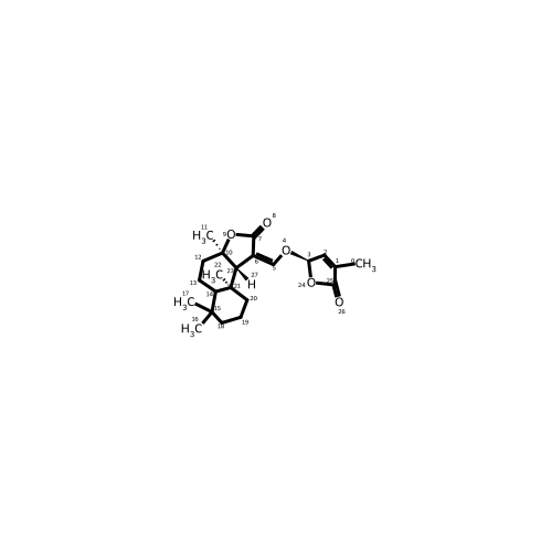 CC1=C[C@H](O/C=C2\C(=O)O[C@]3(C)CCC4C(C)(C)CCC[C@]4(C)[C@@H]23)OC1=O